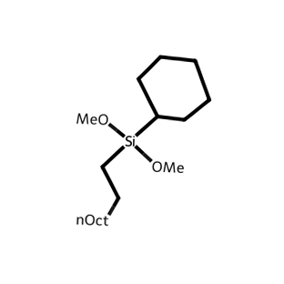 CCCCCCCCCC[Si](OC)(OC)C1CCCCC1